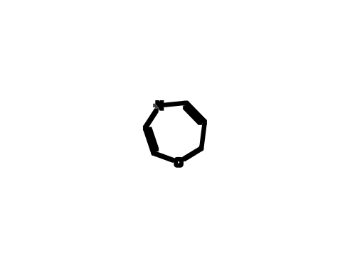 C1=C[N]C=COC1